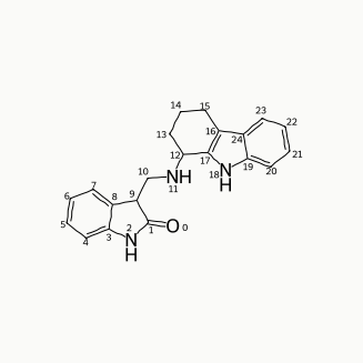 O=C1Nc2ccccc2C1CNC1CCCc2c1[nH]c1ccccc21